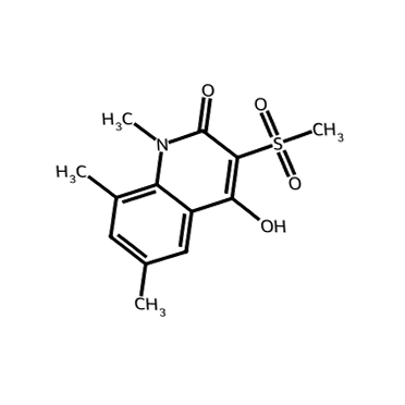 Cc1cc(C)c2c(c1)c(O)c(S(C)(=O)=O)c(=O)n2C